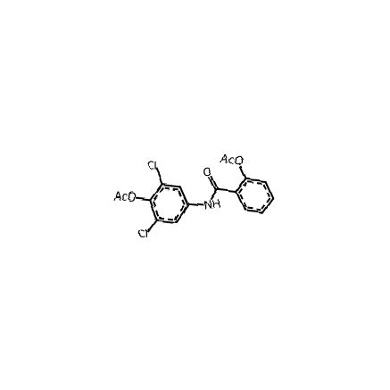 CC(=O)Oc1ccccc1C(=O)Nc1cc(Cl)c(OC(C)=O)c(Cl)c1